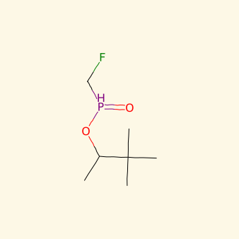 CC(O[PH](=O)CF)C(C)(C)C